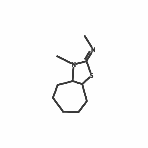 C/N=C1/SC2CCCCCC2N1C